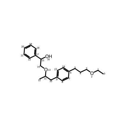 CCOCCCc1ccc(CC(C)OCC(O)c2ccccc2)cc1